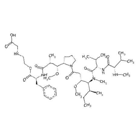 CC[C@H](C)[C@@H]([C@@H](CC(=O)N1CCC[C@H]1[C@H](OC)[C@@H](C)C(=O)N[C@@H](Cc1ccccc1)C(=O)OCCNCC(=O)O)OC)N(C)C(=O)[C@@H](NC(=O)[C@@H](NC)C(C)C)C(C)C